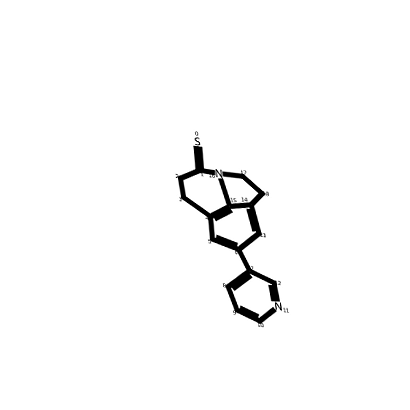 S=C1CCc2cc(-c3cccnc3)cc3c2N1CC3